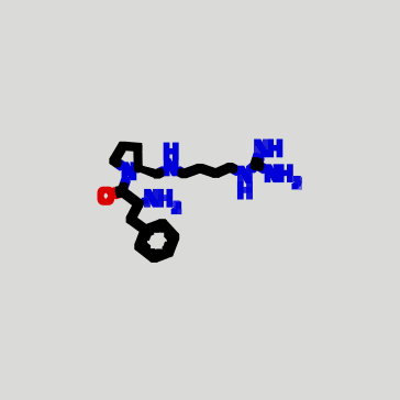 N=C(N)NCCCCNC[C@@H]1CCCN1C(=O)[C@H](N)Cc1ccccc1